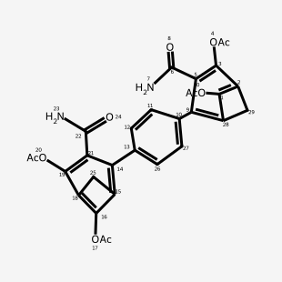 CC(=O)Oc1c2c(OC(C)=O)c(C(N)=O)c(-c3ccc(-c4c5c(OC(C)=O)c(c(OC(C)=O)c4C(N)=O)C5)cc3)c1C2